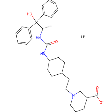 C[C@H](NC(=O)NC1CCC(CCN2CCCC(C(=O)[O-])C2)CC1)C(O)(c1ccccc1)c1ccccc1.[Li+]